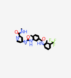 CNC(=O)c1cc(N(C)C(=O)Nc2cc(C(=O)Nc3cccc(C(F)(F)F)c3C)ccc2C)ccn1